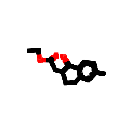 CCOC(=O)CC1CCc2cc(C)ccc2C1=O